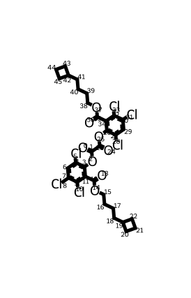 O=C(Oc1c(Cl)cc(Cl)c(Cl)c1C(=O)OCCCCC1CCC1)C(=O)Oc1c(Cl)cc(Cl)c(Cl)c1C(=O)OCCCCC1CCC1